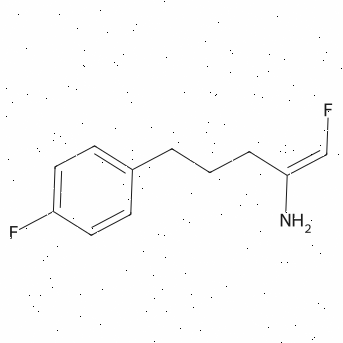 N/C(=C/F)CCCc1ccc(F)cc1